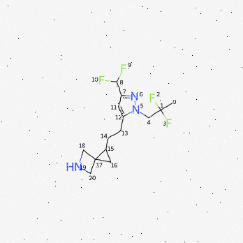 CC(F)(F)Cn1nc(C(F)F)cc1CCC1CC12CNC2